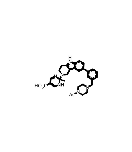 CC(=O)N1CCN(Cc2cccc(-c3ccc4[nH]c5c(c4c3)CN(C3(C)N=CC(C(=O)O)=CN3)CC5)c2)CC1